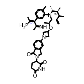 C=CC(C)[C@H](C)[C@@H](C)N(CC(C)OC1CN(c2ccc3c(c2)CN(C2CCC(=O)NC2=O)C3=O)C1)c1cc(/C(C(C)=N)=C(\C)P)ccc1C